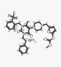 COC(=O)Oc1ccc(CN2CCN(c3c(C)n(Cc4c(F)cccc4C(F)(F)F)c(=O)n(C[C@H](N)c4ccccc4)c3=O)CC2)o1